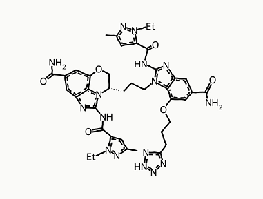 CCn1nc(C)cc1C(=O)Nc1nc2cc(C(N)=O)cc(OCCCc3nn[nH]n3)c2n1CCC[C@H]1COc2cc(C(N)=O)cc3nc(NC(=O)c4cc(C)nn4CC)n1c23